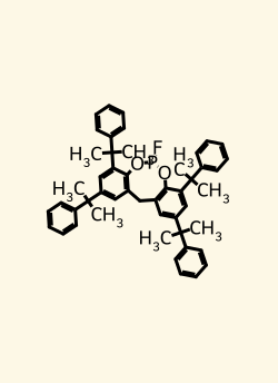 CC(C)(c1ccccc1)c1cc2c(c(C(C)(C)c3ccccc3)c1)OP(F)Oc1c(cc(C(C)(C)c3ccccc3)cc1C(C)(C)c1ccccc1)C2